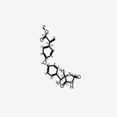 [2H]C(c1ccc(Oc2ccc(C(=C)C(=O)OC)cc2)cc1)C1([2H])SC(=O)NC1=O